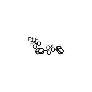 CCC(F)(F)C(=O)OC1C2CC3CC1CC(C(=O)OC(C)OC1C4CC5CC(C4)CC1C5)(C3)C2